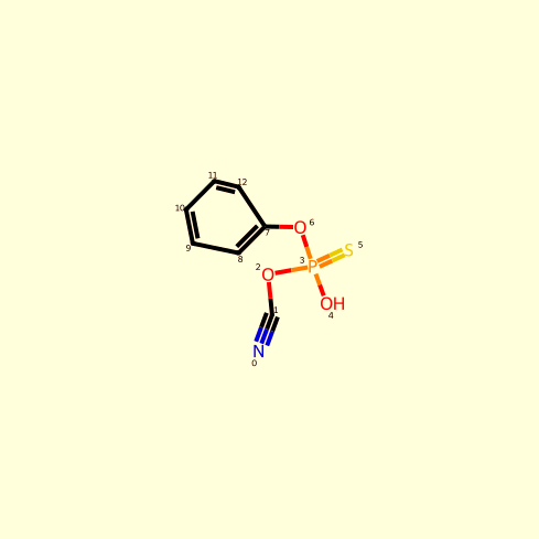 N#COP(O)(=S)Oc1ccccc1